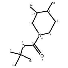 CC1CCN(C(=O)OC(C)(C)C)CC1C